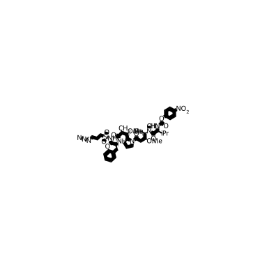 CC[C@H](C)[C@@H]([C@@H](CC(=O)N1CCC[C@H]1[C@H](OC)[C@@H](C)C(=O)N[C@@H](Cc1ccccc1)C(=O)NS(=O)(=O)CCCN=[N+]=[N-])OC)N(C)C(=O)[C@@H](NC(=O)Oc1ccc([N+](=O)[O-])cc1)C(C)C